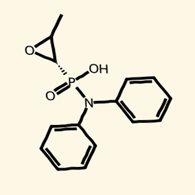 CC1O[C@H]1P(=O)(O)N(c1ccccc1)c1ccccc1